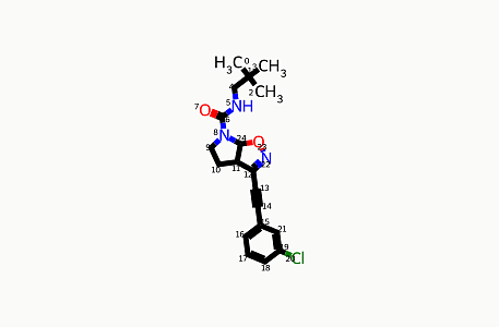 CC(C)(C)CNC(=O)N1CCC2C(C#Cc3cccc(Cl)c3)=NOC21